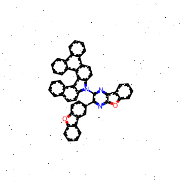 c1ccc2c(c1)ccc1c2c2c3c4ccccc4c4ccccc4c3ccc2n1-c1nc2c(nc1-c1ccc3oc4ccccc4c3c1)oc1ccccc12